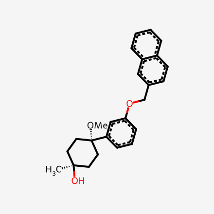 CO[C@]1(c2cccc(OCc3ccc4ccccc4c3)c2)CC[C@@](C)(O)CC1